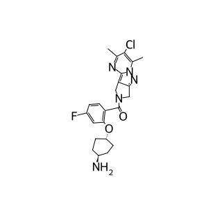 Cc1nc2c3c(nn2c(C)c1Cl)CN(C(=O)c1ccc(F)cc1O[C@H]1CC[C@H](N)CC1)C3